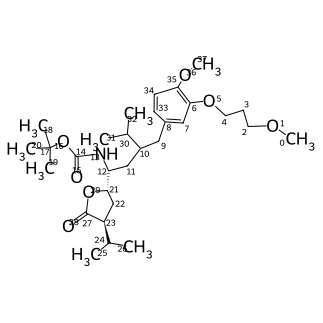 COCCCOc1cc(CC(CC(NC(=O)OC(C)(C)C)[C@@H]2C[C@@H](C(C)C)C(=O)O2)C(C)C)ccc1OC